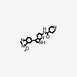 COc1ncnc2ccc(-c3c[nH]c4nc(NC(=O)c5ccncc5)ccc34)cc12